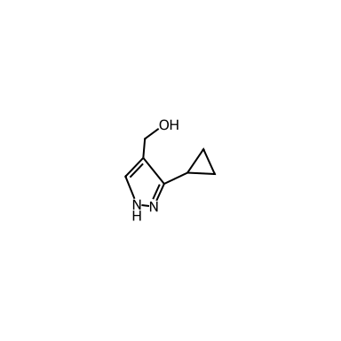 OCc1c[nH]nc1C1CC1